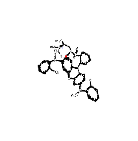 C/C(CN(C)S(=O)(=O)c1ccccc1C1c2ccc(N(C)c3ccccc3Cl)cc2Oc2cc(N(C)c3ccccc3Cl)ccc21)=N\O